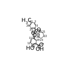 Cc1ccc(S(=O)(=O)C2(Oc3ccc(O)c(C(=O)O)c3)CCCCC2)cc1